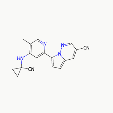 Cc1cnc(-c2ccc3cc(C#N)cnn23)cc1NC1(C#N)CC1